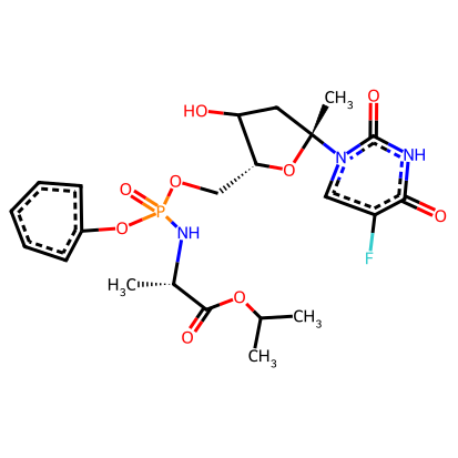 CC(C)OC(=O)[C@H](C)NP(=O)(OC[C@H]1O[C@@](C)(n2cc(F)c(=O)[nH]c2=O)CC1O)Oc1ccccc1